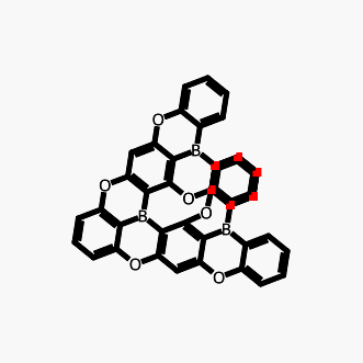 c1ccc2c(c1)Oc1cc3c(c4c1B2c1ccccc1O4)B1c2c(cccc2Oc2cc4c5c(c21)Oc1ccccc1B5c1ccccc1O4)O3